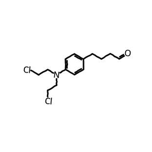 O=CCCCc1ccc(N(CCCl)CCCl)cc1